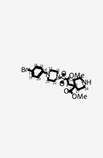 COC(=O)C1(CC(OC)S(=O)(=O)N2CCN(c3ccc(Br)cc3)CC2)CCNCC1